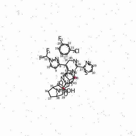 O=S(=O)(CC1CC2=C(c3ccn(C(F)F)n3)[C@H](c3ccc(F)cc3Cl)N=C(c3nccs3)N2C1)N1C2CCC1CC(O)(c1ccccn1)C2